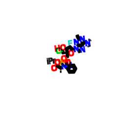 Cc1nc(N(C)C)c2ncn([C@@H]3O[C@](CCl)(CO[P@](=S)(N[C@H](C)C(=O)OC(C)C)Oc4ccccc4)[C@@H](O)[C@H]3F)c2n1